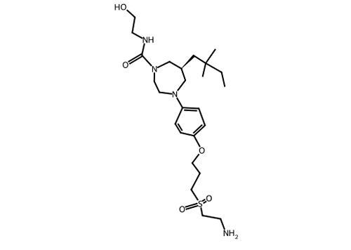 CCC(C)(C)C[C@@H]1CN(C(=O)NCCO)CCN(c2ccc(OCCCS(=O)(=O)CCN)cc2)C1